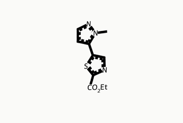 CCOC(=O)c1ncc(-c2ccnn2C)s1